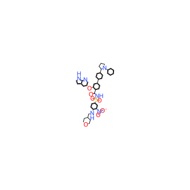 O=C(NS(=O)(=O)c1ccc(NCC2CCOCC2)c([N+](=O)[O-])c1)c1ccc(-c2ccc(C3CCCN3c3ccccc3)cc2)cc1Oc1cnc2[nH]ccc2c1